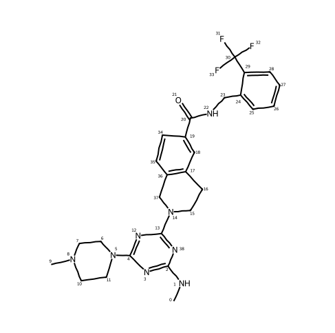 CNc1nc(N2CCN(C)CC2)nc(N2CCc3cc(C(=O)NCc4ccccc4C(F)(F)F)ccc3C2)n1